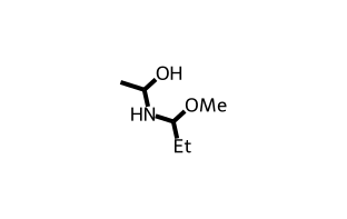 CCC(NC(C)O)OC